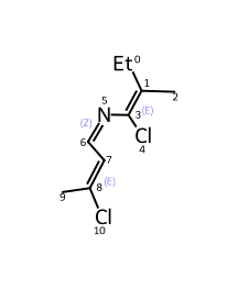 CC\C(C)=C(Cl)/N=C\C=C(/C)Cl